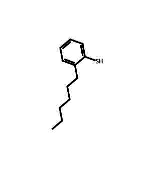 CCCCCCc1ccccc1S